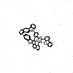 c1ccc(-c2nc(-c3ccc(-n4c5ccccc5c5cc6ccccc6cc54)cc3-c3cc4ccccc4c4sc5ccccc5c34)nc(-c3cccc4c3oc3ccccc34)n2)cc1